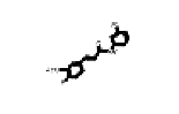 CC(=O)Oc1cc(/C=C/C(=O)Nc2cccc(Br)c2)ccc1F